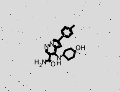 Cc1ccc(-c2cc3c(N[C@H]4CC[C@@](C)(O)CC4)c(C(N)=O)cnn3c2)cc1